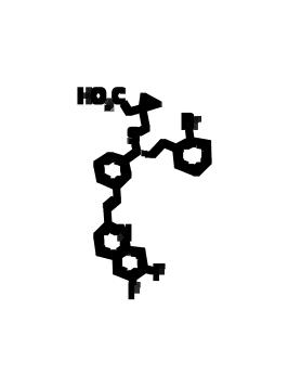 O=C(O)CC1(CS[C@H](CCc2ccccc2Br)c2cccc(C=Cc3ccc4cc(F)c(F)cc4n3)c2)CC1